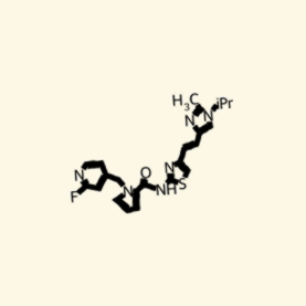 Cc1nc(/C=C/c2csc(NC(=O)c3cccn3Cc3ccnc(F)c3)n2)cn1C(C)C